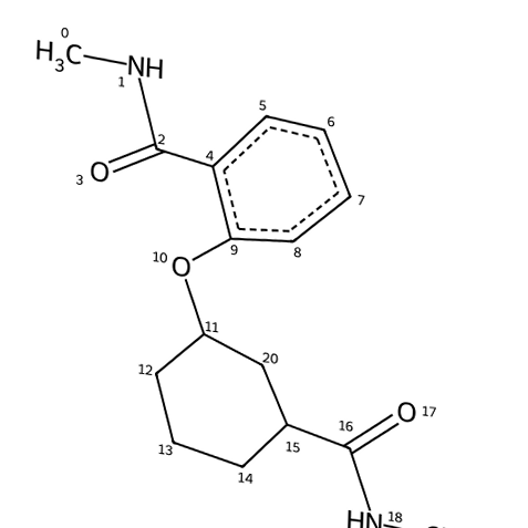 CNC(=O)c1ccccc1OC1CCCC(C(=O)NC)C1